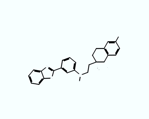 CC(C)[C@H]1c2ccc(F)cc2CC[C@]1(O)CCN(C)c1cccc(-c2nc3ccccc3[nH]2)c1